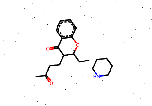 C1CCNCC1.CCC1Oc2ccccc2C(=O)C1CCC(C)=O